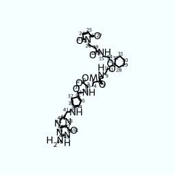 COC(=O)[C@H](CCC(=O)NCCOC1(OCCNC(=O)CCN2C(=O)C=CC2=O)CCCCC1)NC(=O)c1ccc(NCc2cnc3nc(N)[nH]c(=O)c3n2)cc1